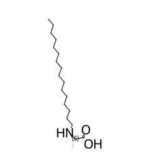 CCCCCCCCCCCCCCCCN[C@@H](C)C(=O)O